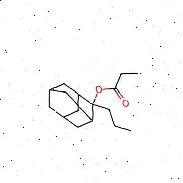 [CH2]CC(=O)OC1(CCC)C2CC3CC(C2)CC1C3